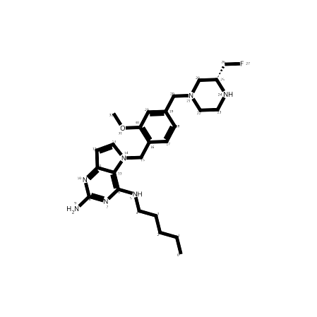 CCCCCNc1nc(N)nc2ccn(Cc3ccc(CN4CCN[C@@H](CF)C4)cc3OC)c12